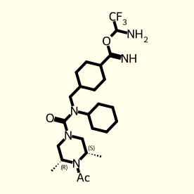 CC(=O)N1[C@H](C)CN(C(=O)N(CC2CCC(C(=N)OC(N)C(F)(F)F)CC2)C2CCCCC2)C[C@@H]1C